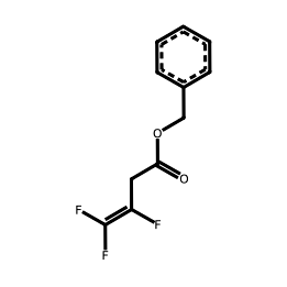 O=C(CC(F)=C(F)F)OCc1ccccc1